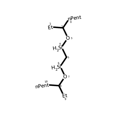 CCCCCC(CC)O[SiH2]C[SiH2]OC(CC)CCCCC